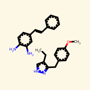 CCc1c[nH]nc1Cc1ccc(OC)cc1.Nc1ccc(C=Cc2ccccc2)cc1N